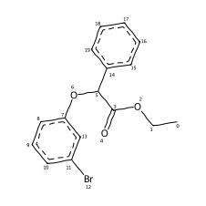 CCOC(=O)C(Oc1cccc(Br)c1)c1ccccc1